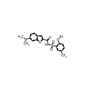 CCOc1ccc(C(F)(F)F)cc1S(=O)(=O)NC(=O)c1cc2ccc(N(C)C)cc2o1